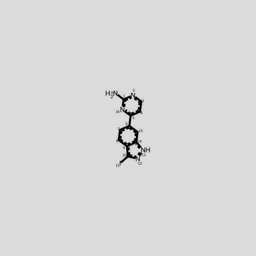 Nc1nccc(-c2ccc3c(I)n[nH]c3c2)n1